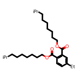 CCc1ccc(C(=O)OCCCCCCCC(C)C)c(C(=O)OCCCCCCCC(C)C)c1